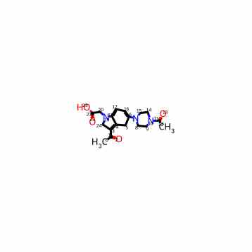 CC(=O)C1=C2CC(N3CCN(C(C)=O)CC3)=CC=C2N(CC(=O)O)C1